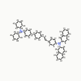 C(=C\c1ccc(N(c2ccc3ccccc3c2)c2ccc3ccccc3c2)cc1)/c1ccc(-c2ccc(N(c3ccccc3)c3ccccc3)cc2)cc1